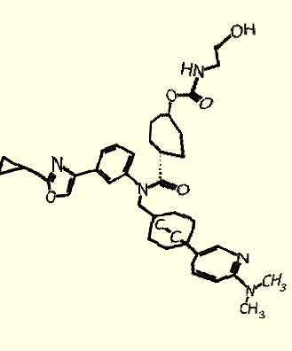 CN(C)c1ccc(C23CCC(CN(c4cccc(-c5coc(C6CC6)n5)c4)C(=O)[C@H]4CC[C@H](OC(=O)NCCO)CC4)(CC2)CC3)cn1